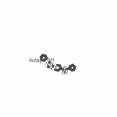 CC(=O)Nc1cccc(Nc2ncnc(N3CCC(c4nc(-c5ccccc5)no4)CC3)n2)c1